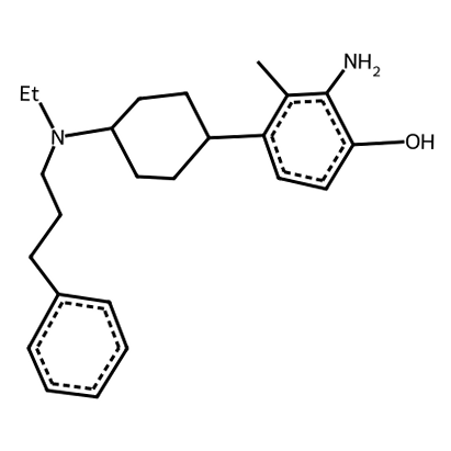 CCN(CCCc1ccccc1)C1CCC(c2ccc(O)c(N)c2C)CC1